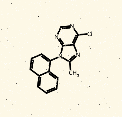 Cc1nc2c(Cl)ncnc2n1-c1cccc2ccccc12